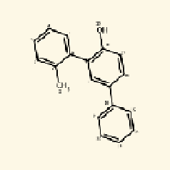 Cc1ccccc1-c1cc(-c2ccccc2)ccc1O